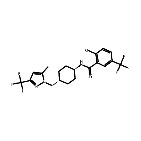 Cc1cc(C(F)(F)F)nn1C[C@H]1CC[C@H](NC(=O)c2cc(C(F)(F)F)ccc2Cl)CC1